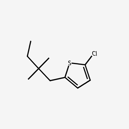 CCC(C)(C)Cc1ccc(Cl)s1